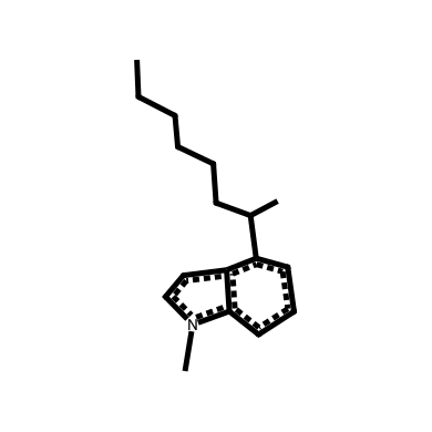 CCCCCCC(C)c1cccc2c1ccn2C